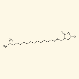 CC(C)CCCCCCCCCCCCC=CCC1CC(=O)OC1=O